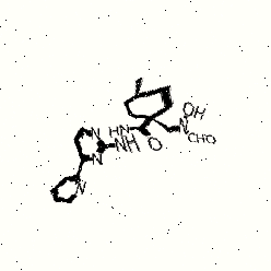 C[C@H]1CC[C@](CN(O)C=O)(C(=O)NNc2nccc(-c3ccccn3)n2)CC1